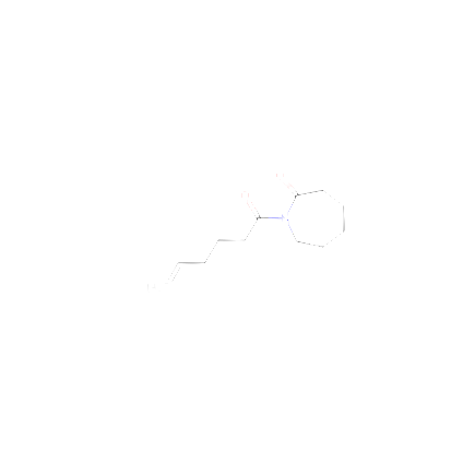 C=CCCCC(=O)N1CCCCCC1=O